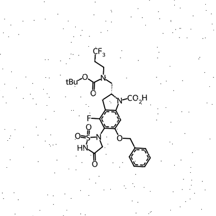 CC(C)(C)OC(=O)N(CCC(F)(F)F)C[C@H]1Cc2c(cc(OCc3ccccc3)c(N3CC(=O)NS3(=O)=O)c2F)N1C(=O)O